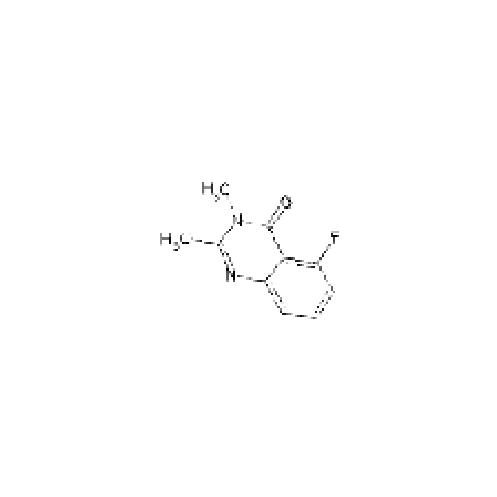 Cc1nc2cccc(F)c2c(=O)n1C